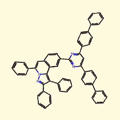 c1ccc(-c2ccc(-c3cc(-c4ccc(-c5ccccc5)cc4)nc(-c4ccc5cc(-c6ccccc6)n6nc(-c7ccccc7)c(-c7ccccc7)c6c5c4)n3)cc2)cc1